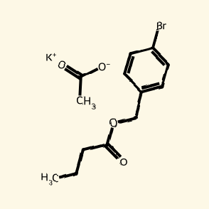 CC(=O)[O-].CCCC(=O)OCc1ccc(Br)cc1.[K+]